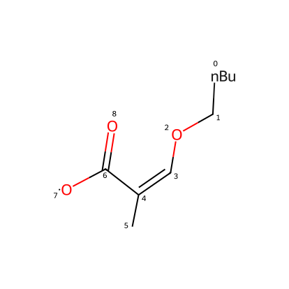 CCCCCOC=C(C)C([O])=O